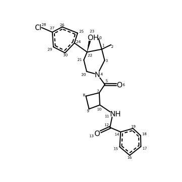 CC1(C)CN(C(=O)C2CCC2NC(=O)c2ccccc2)CC[C@]1(O)c1ccc(Cl)cc1